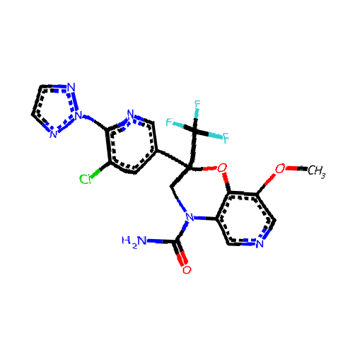 COc1cncc2c1OC(c1cnc(-n3nccn3)c(Cl)c1)(C(F)(F)F)CN2C(N)=O